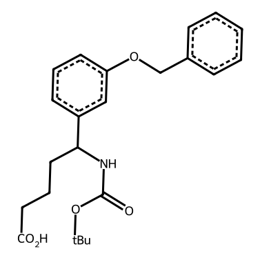 CC(C)(C)OC(=O)NC(CCCC(=O)O)c1cccc(OCc2ccccc2)c1